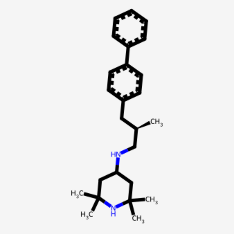 C[C@@H](CNC1CC(C)(C)NC(C)(C)C1)Cc1ccc(-c2ccccc2)cc1